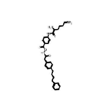 NCCCCC(N)C(=O)Nc1ccc(C(=O)ONC(=O)Cc2ccc(CCCCc3ccccc3)cc2)cc1